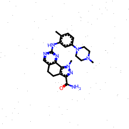 Cc1ccc(N2CCN(C)CC2)cc1Nc1ncc2c(n1)-c1c(c(C(N)=O)nn1C)CC2